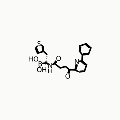 O=C(CCC(=O)c1cccc(-c2ccccc2)n1)N[C@@H](Cc1ccsc1)B(O)O